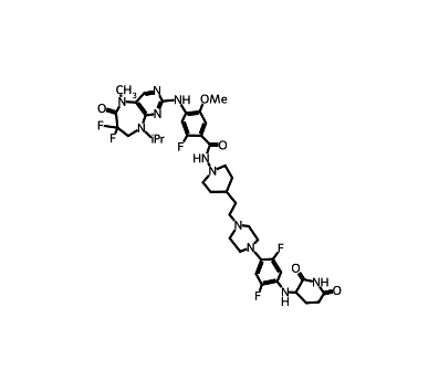 COc1cc(C(=O)NN2CCC(CCN3CCN(c4cc(F)c(NC5CCC(=O)NC5=O)cc4F)CC3)CC2)c(F)cc1Nc1ncc2c(n1)N(C(C)C)CC(F)(F)C(=O)N2C